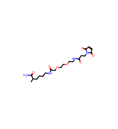 CC(CCCCNC(=O)COCCOCCNC(=O)CCN1C(=O)C=CC1=O)C(N)=O